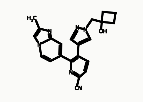 Cc1cn2ccc(-c3nc(C#N)ccc3-c3cnn(CC4(O)CCC4)c3)cc2n1